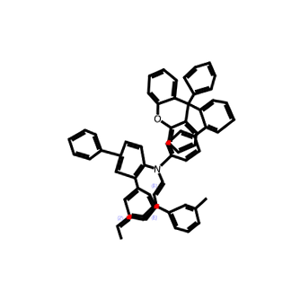 C\C=C/C=C(\C=C\N(c1ccc(-c2ccccc2C2(c3ccccc3)c3ccccc3Oc3ccccc32)cc1)c1ccc(-c2ccccc2)cc1-c1ccccc1)c1cccc(C)c1